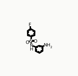 Nc1cccc(NS(=O)(=O)c2ccc(F)cc2)c1